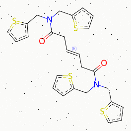 O=C(C/C=C/CC(=O)N(Cc1cccs1)Cc1cccs1)N(Cc1cccs1)Cc1cccs1